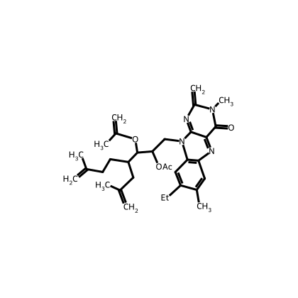 C=C(C)CCC(CC(=C)C)C(OC(=C)C)C(CN1c2cc(CC)c(C)cc2N=c2c1nc(=C)n(C)c2=O)OC(C)=O